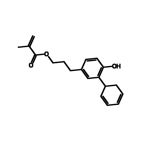 C=C(C)C(=O)OCCCc1ccc(O)c(C2C=CC=CC2)c1